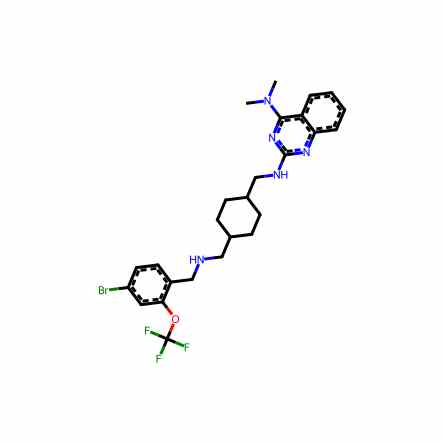 CN(C)c1nc(NCC2CCC(CNCc3ccc(Br)cc3OC(F)(F)F)CC2)nc2ccccc12